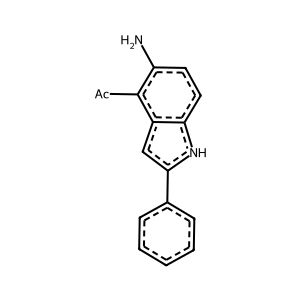 CC(=O)c1c(N)ccc2[nH]c(-c3ccccc3)cc12